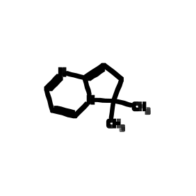 CC1(C)CC=C2N=CC=CN21